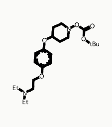 CCN(CC)CCOc1ccc(OC2CCN(OC(=O)OC(C)(C)C)CC2)cc1